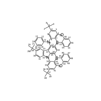 CC(C)(C)c1cc2c3c(c1)N(c1ccccc1)c1c(cc4c5c1c1cc(C(C)(C)C)ccc1n5-c1cc(C(C)(C)C)cc5c1B4c1ccccc1O5)B3c1ccccc1O2